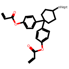 C=CC(=O)Oc1ccc(C2(c3ccc(OC(=O)C=C)cc3)CCC(CCCCCCC)CC2)cc1